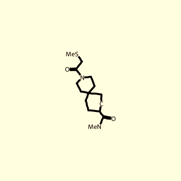 CNC(=O)C1CCC2(CC1)CCN(C(=O)CSC)CC2